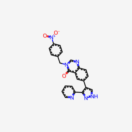 O=c1c2cc(-c3c[nH]nc3-c3ccccn3)ccc2ncn1Cc1ccc([N+](=O)[O-])cc1